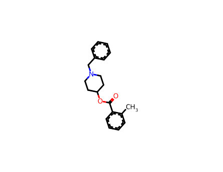 Cc1ccccc1C(=O)OC1CCN(Cc2ccccc2)CC1